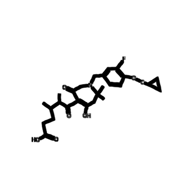 CC(CCC(=O)O)C(C)C(=O)C1=C(O)CC(C)(C)N(Cc2ccc(OCC3CC3)c(F)c2)CC1=O